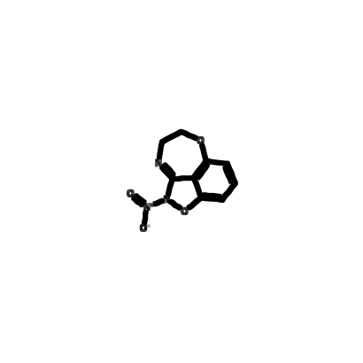 O=[N+]([O-])N1Oc2cccc3c2C1=NCCO3